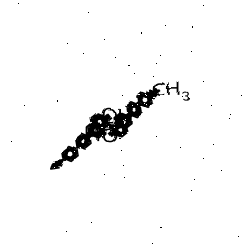 CC1C2C1C21CCC(c2ccc(-c3ccc4c(-c5c(O)ccc6cc(-c7ccc([C@H]8CC[C@H](C9C%10CC%109)CC8)cc7)ccc56)c(O)ccc4c3)cc2)CC1